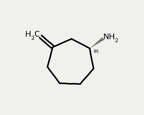 C=C1CCCC[C@@H](N)C1